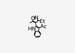 CCc1noc(C)c1-c1[nH]c2ccccc2c1C(C)=O